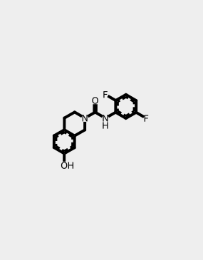 O=C(Nc1cc(F)ccc1F)N1CCc2ccc(O)cc2C1